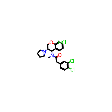 CN(C(=O)Cc1ccc(Cl)c(Cl)c1)[C@@H]1c2ccccc2OC[C@H]1N1CCCC1.Cl